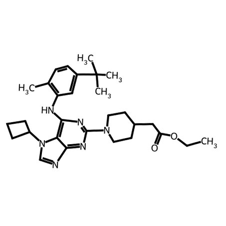 CCOC(=O)CC1CCN(c2nc(Nc3cc(C(C)(C)C)ccc3C)c3c(ncn3C3CCC3)n2)CC1